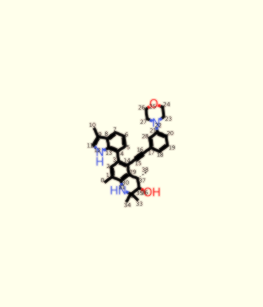 Cc1cc(-c2cccc3c(C)c[nH]c23)c(C#Cc2cccc(N3CCOCC3)c2)c2c1NC(C)(C)C(O)[C@H]2C